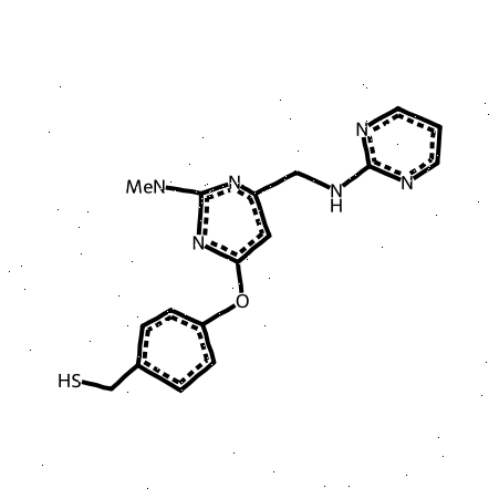 CNc1nc(CNc2ncccn2)cc(Oc2ccc(CS)cc2)n1